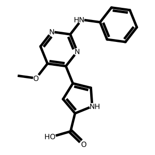 COc1cnc(Nc2ccccc2)nc1-c1c[nH]c(C(=O)O)c1